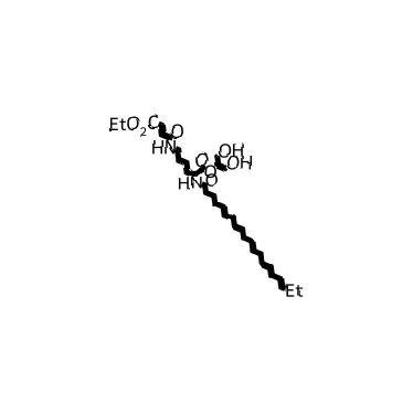 CCC=CCC=CCC=CCC=CCC=CCCCC(=O)NC(CCCCNC(=O)C=CC(=O)OCC)C(=O)OC(CO)CO